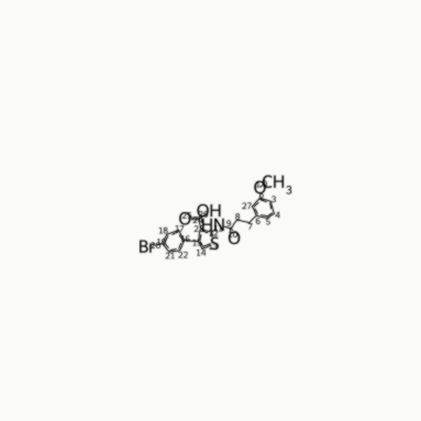 COc1cccc(CCC(=O)Nc2scc(-c3ccc(Br)cc3)c2C(=O)O)c1